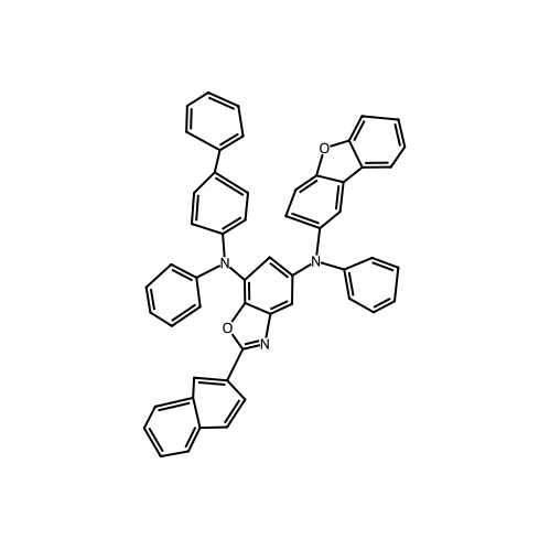 c1ccc(-c2ccc(N(c3ccccc3)c3cc(N(c4ccccc4)c4ccc5oc6ccccc6c5c4)cc4nc(-c5ccc6ccccc6c5)oc34)cc2)cc1